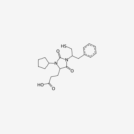 O=C(O)CCC1C(=O)N(C(CS)Cc2ccccc2)C(=O)N1C1CCCC1